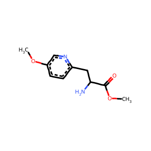 COC(=O)C(N)Cc1ccc(OC)cn1